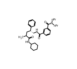 CCCN(CCC)C(=O)c1cccc(C(=O)NC[C@H](CC(C)C(=O)NC2CCCCC2)c2ccccc2)c1